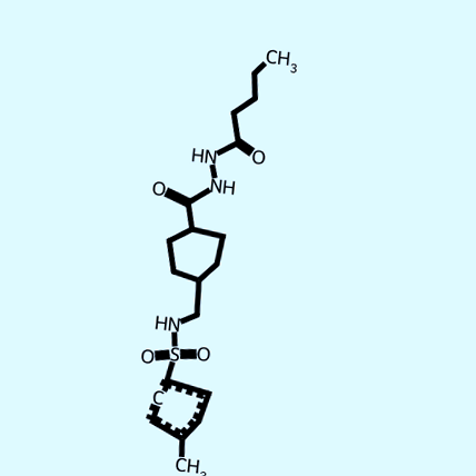 CCCCC(=O)NNC(=O)C1CCC(CNS(=O)(=O)c2ccc(C)cc2)CC1